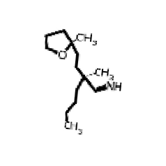 CCCC[C@](C)(C=N)CC[C@]1(C)CCCO1